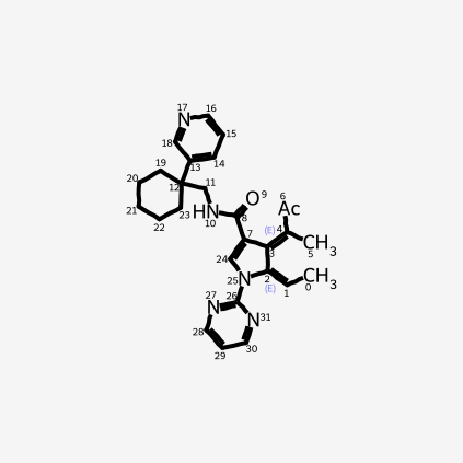 C/C=c1\c(=C(/C)C(C)=O)c(C(=O)NCC2(c3cccnc3)CCCCC2)cn1-c1ncccn1